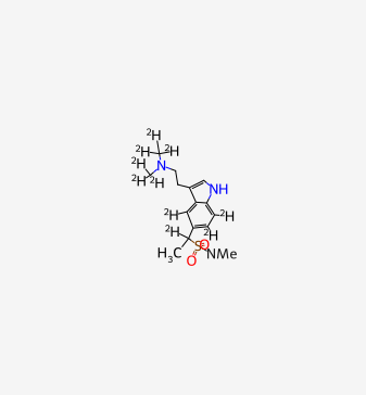 [2H]c1c(C([2H])(C)S(=O)(=O)NC)c([2H])c2c(CCN(C([2H])([2H])[2H])C([2H])([2H])[2H])c[nH]c2c1[2H]